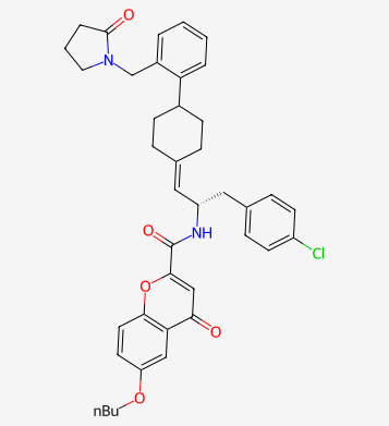 CCCCOc1ccc2oc(C(=O)N[C@H](C=C3CCC(c4ccccc4CN4CCCC4=O)CC3)Cc3ccc(Cl)cc3)cc(=O)c2c1